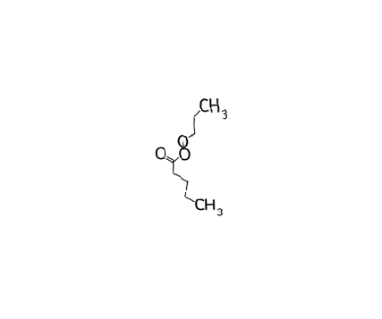 CCCCC(=O)OOCCC